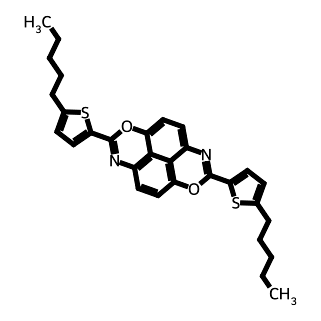 CCCCCc1ccc(C2=Nc3ccc4c5c(ccc(c35)O2)N=C(c2ccc(CCCCC)s2)O4)s1